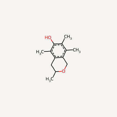 Cc1c(C)c2c(c(C)c1O)CC(C)OC2